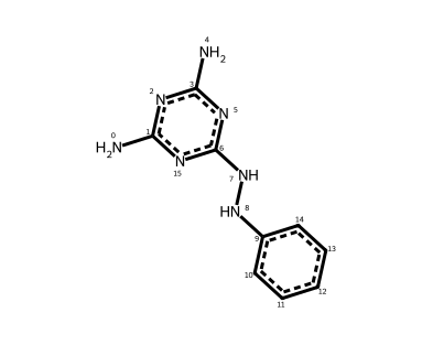 Nc1nc(N)nc(NNc2ccccc2)n1